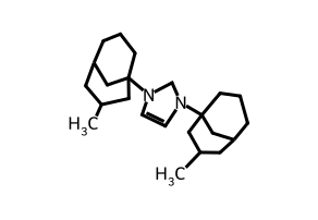 CC1CC2CCCC(N3C=CN(C45CCCC(CC(C)C4)C5)C3)(C1)C2